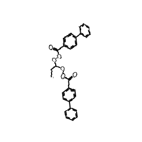 [CH2]C[C](OOC(=O)c1ccc(-c2ccccc2)cc1)OOC(=O)c1ccc(-c2ccccc2)cc1